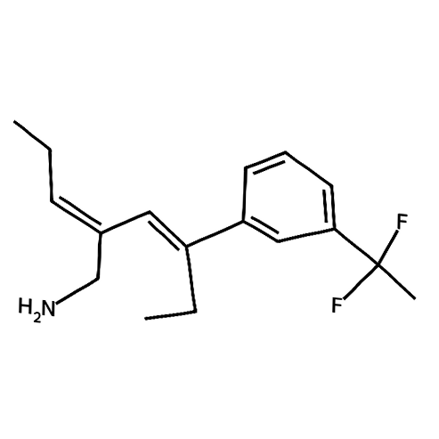 CC/C=C(\C=C(/CC)c1cccc(C(C)(F)F)c1)CN